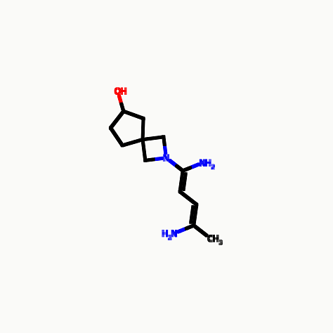 C/C(N)=C/C=C(\N)N1CC2(CCC(O)C2)C1